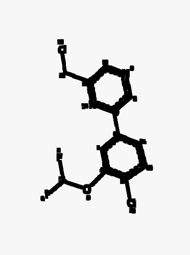 FC(F)Oc1cc(-c2cncc(CCl)n2)ccc1Cl